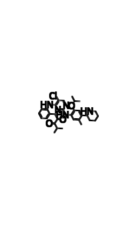 Cc1cc(Nc2ncc(Cl)c(Nc3ccccc3CC(=O)C(=O)C(C)C)n2)c(OC(C)C)cc1C1CCCCN1